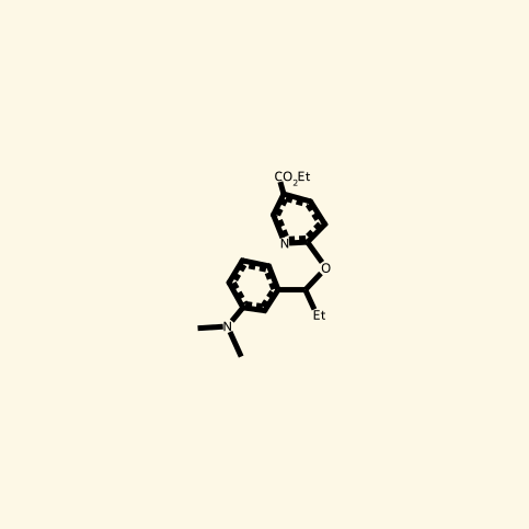 CCOC(=O)c1ccc(OC(CC)c2cccc(N(C)C)c2)nc1